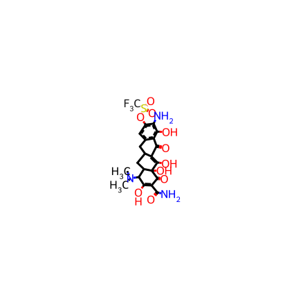 CN(C)C1C(O)=C(C(N)=O)C(=O)C2(O)C(O)=C3C(=O)c4c(cc(OS(=O)(=O)C(F)(F)F)c(N)c4O)CC3CC12